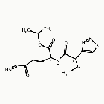 CO[C@H](C(=O)N[C@@H](CCC(=O)C=N)C(=O)OC(C)C)c1cscn1